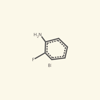 Nc1ccccc1F.[B]